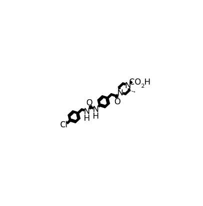 C[C@@H]1CN(C(=O)Cc2ccc(NC(=O)NCc3ccc(Cl)cc3)cc2)CCN1C(=O)O